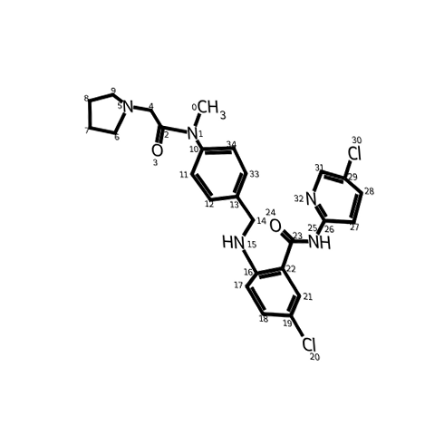 CN(C(=O)CN1CCCC1)c1ccc(CNc2ccc(Cl)cc2C(=O)Nc2ccc(Cl)cn2)cc1